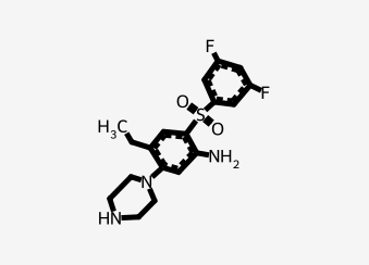 CCc1cc(S(=O)(=O)c2cc(F)cc(F)c2)c(N)cc1N1CCNCC1